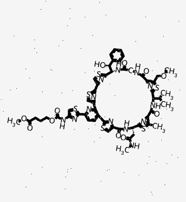 CNC(=O)C[C@@H]1NC(=O)c2csc(n2)-c2ccc(-c3nc(NC(=O)OCCCC(=O)OC)cs3)nc2-c2csc(n2)-c2csc(n2)[C@H]([C@@H](O)c2ccccc2)NC(=O)CNC(=O)c2nc(sc2COC)C(C(C)C)NC(=O)c2nc1sc2C